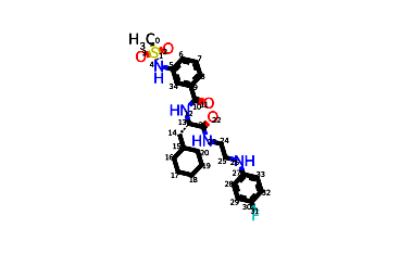 CS(=O)(=O)Nc1cccc(C(=O)N[C@@H](CC2CCCCC2)C(=O)NCCNc2ccc(F)cc2)c1